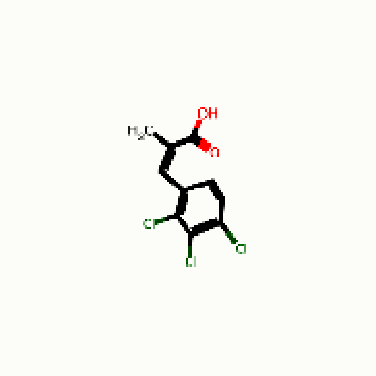 CC(=Cc1ccc(Cl)c(Cl)c1Cl)C(=O)O